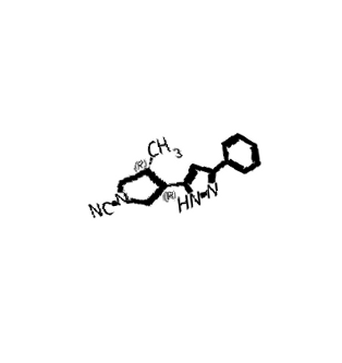 C[C@H]1CN(C#N)C[C@@H]1c1cc(-c2ccccc2)n[nH]1